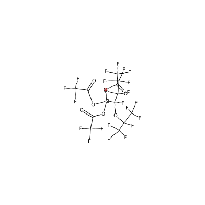 O=C(O[Si](OC(=O)C(F)(F)F)(OC(=O)C(F)(F)F)C(F)(OC(F)(C(F)(F)F)C(F)(F)F)C(F)(F)C(F)(F)F)C(F)(F)F